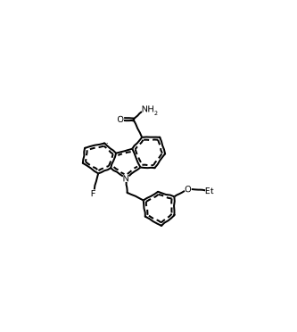 CCOc1cccc(Cn2c3cccc(C(N)=O)c3c3[c]ccc(F)c32)c1